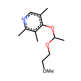 [CH2]c1ncc(C)c(OC(C)OCCOC)c1C